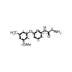 COc1cc(C)cc(Oc2cccc(NC(=O)CN)n2)c1